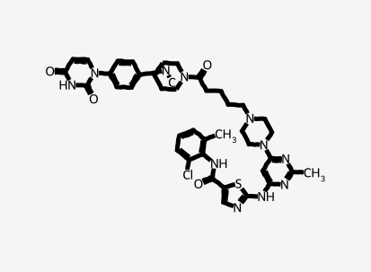 Cc1nc(Nc2ncc(C(=O)Nc3c(C)cccc3Cl)s2)cc(N2CCN(CCCCC(=O)N3CC4CCC3CN4c3ccc(-n4ccc(=O)[nH]c4=O)cc3)CC2)n1